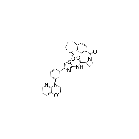 O=C(Nc1nc(-c2cccc(N3CCOc4cccnc43)c2)cs1)[C@@H]1CCN1C(=O)c1ccc2c(c1)[S+]([O-])CCCC2